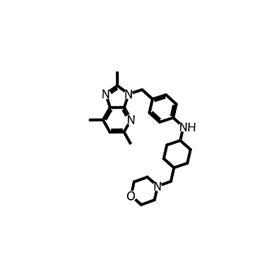 Cc1cc(C)c2nc(C)n(Cc3ccc(NC4CCC(CN5CCOCC5)CC4)cc3)c2n1